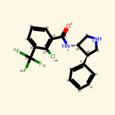 O=C(N[C@@H]1CNC[C@H]1c1ccccc1)c1cccc(C(F)(F)F)c1Cl